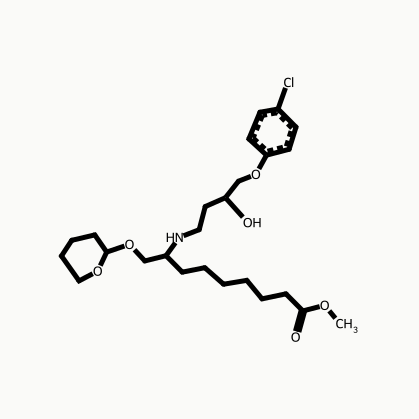 COC(=O)CCCCCCC(COC1CCCCO1)NCCC(O)COc1ccc(Cl)cc1